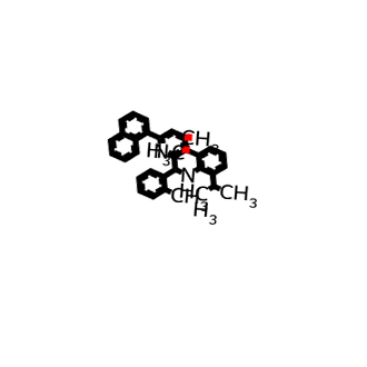 Cc1ccccc1C(Nc1c(C(C)C)cccc1C(C)C)c1cccc(-c2cccc3ccccc23)n1